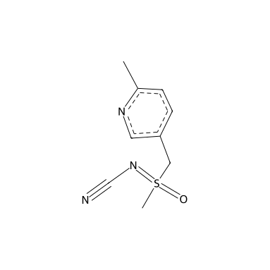 Cc1ccc(CS(C)(=O)=NC#N)cn1